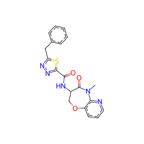 CN1C(=O)C(NC(=O)c2nnc(Cc3ccccc3)s2)COc2cccnc21